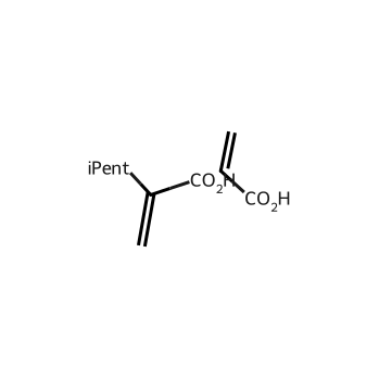 C=C(C(=O)O)C(C)CCC.C=CC(=O)O